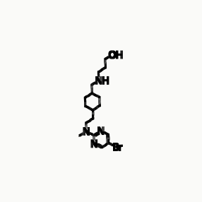 CN(CCC1CCC(CNCCCO)CC1)c1ncc(Br)cn1